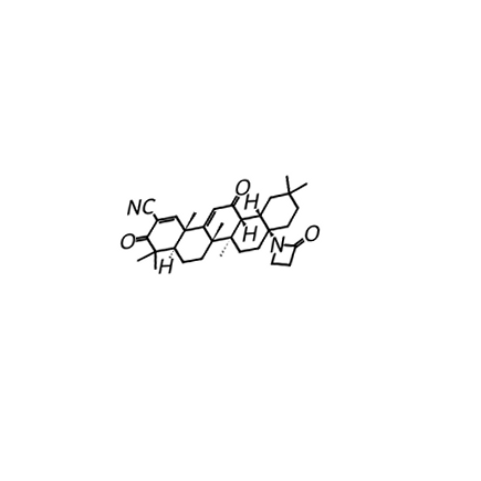 CC1(C)CC[C@]2(N3CCC3=O)CC[C@]3(C)[C@H](C(=O)C=C4[C@@]5(C)C=C(C#N)C(=O)C(C)(C)[C@@H]5CC[C@]43C)[C@@H]2C1